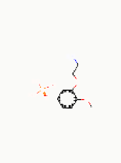 COc1ccccc1OCCN.O=P(O)(O)O